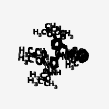 COc1c(C[C@H](NC(=O)C2C[C@H](NC(=O)OC(C)(C)C)[C@@H](NC(=O)OC(C)(C)C)C2)B2OC3CC4CC(C4(C)C)C3(C)O2)cccc1C(=O)OC(C)(C)C